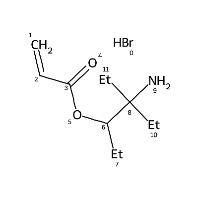 Br.C=CC(=O)OC(CC)C(N)(CC)CC